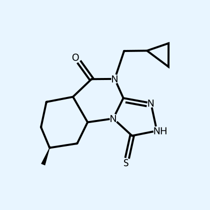 C[C@H]1CCC2C(=O)N(CC3CC3)c3n[nH]c(=S)n3C2C1